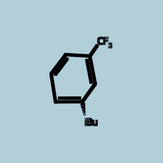 CC[C@@H](C)c1cccc(C(F)(F)F)c1